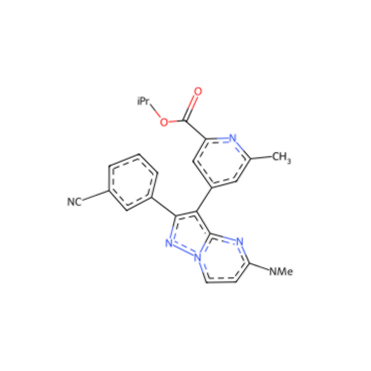 CNc1ccn2nc(-c3cccc(C#N)c3)c(-c3cc(C)nc(C(=O)OC(C)C)c3)c2n1